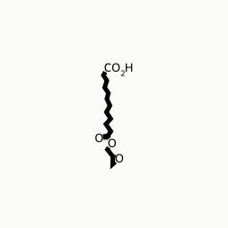 O=C(O)CCCCCCCCCCC(=O)OCC1CO1